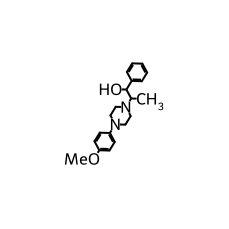 COc1ccc(N2CCN(C(C)C(O)c3ccccc3)CC2)cc1